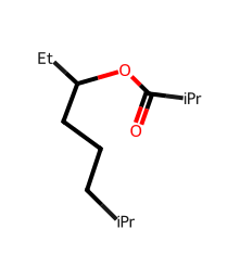 CCC(CCCC(C)C)OC(=O)C(C)C